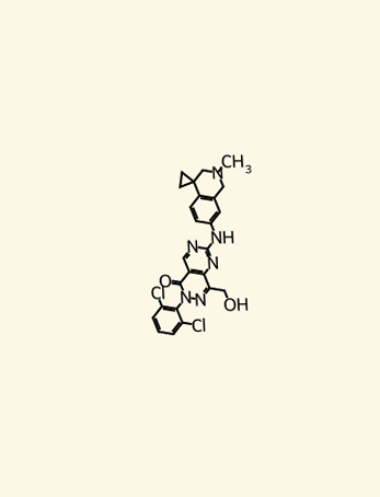 CN1Cc2cc(Nc3ncc4c(=O)n(-c5c(Cl)cccc5Cl)nc(CO)c4n3)ccc2C2(CC2)C1